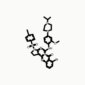 COc1cc(N2CCN(C(C)C)CC2)ccc1Nc1nc2c(c3nc4cccc(Br)c4c(=O)n13)CCN2S(=O)(=O)c1ccc(C)cc1